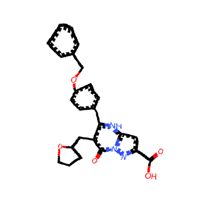 O=C(O)c1cc2[nH]c(-c3ccc(OCc4ccccc4)cc3)c(CC3CCCO3)c(=O)n2n1